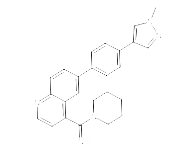 Cn1cc(-c2ccc(-c3ccc4nccc(C(=N)N5CCCCC5)c4c3)cc2)cn1